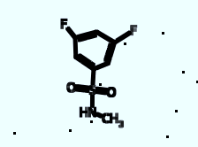 CNS(=O)(=O)c1cc(F)cc(F)c1